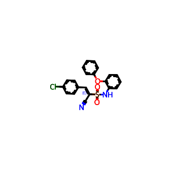 N#C/C(=C\c1ccc(Cl)cc1)S(=O)(=O)Nc1ccccc1Oc1ccccc1